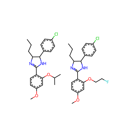 CCCC1N=C(c2ccc(OC)cc2OC(C)C)NC1c1ccc(Cl)cc1.CCCC1N=C(c2ccc(OC)cc2OCCF)NC1c1ccc(Cl)cc1